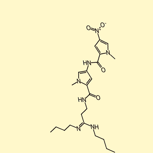 CCCC/N=C(\CCNC(=O)c1cc(NC(=O)c2cc([N+](=O)[O-])cn2C)cn1C)NCCCC